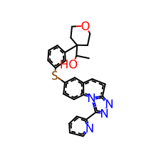 CC(O)C1(c2cccc(Sc3ccc4c(ccc5nnc(-c6ccccn6)n54)c3)c2)CCOCC1